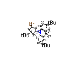 CC(C)(C)c1cc(Br)cc(N2c3ccc(C(C)(C)C)cc3C(C)(C)c3cc(C(C)(C)C)ccc32)c1